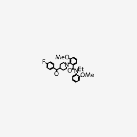 CCN(C(=O)c1cccc(OC)c1N1CCC(C(=O)c2ccc(F)cc2)CC1)c1ccccc1OC